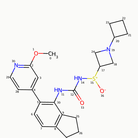 COc1cc(-c2ccc3c(c2NC(=O)N[S+]([O-])C2CN(C4CCC4)C2)CCC3)ccn1